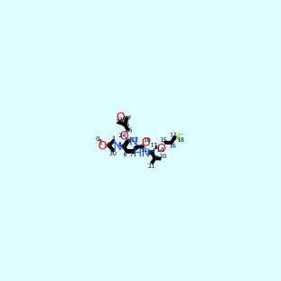 COC1CN(c2ccc(C(=O)N[C@H](COCCCF)C(C)C)nc2OCC2COC2)C1